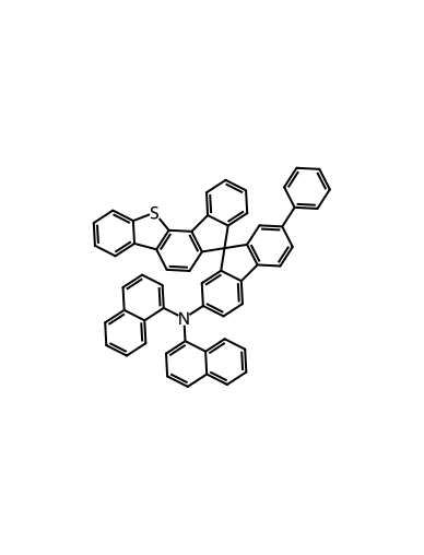 c1ccc(-c2ccc3c(c2)C2(c4cc(N(c5cccc6ccccc56)c5cccc6ccccc56)ccc4-3)c3ccccc3-c3c2ccc2c3sc3ccccc32)cc1